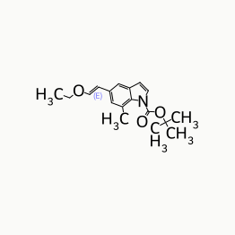 CCO/C=C/c1cc(C)c2c(ccn2C(=O)OC(C)(C)C)c1